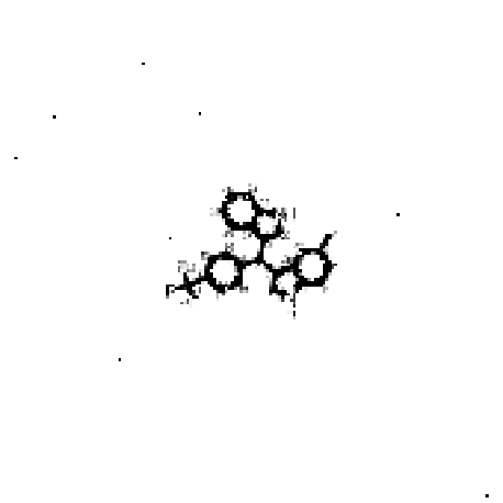 Cc1ccc2[nH]cc(C(c3ccc(C(F)(F)F)cc3)c3c[nH]c4ccccc34)c2c1